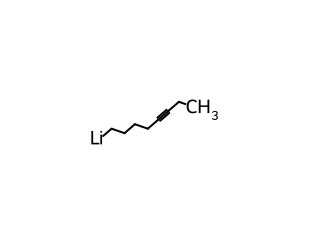 [Li][CH2]CCCC#CCC